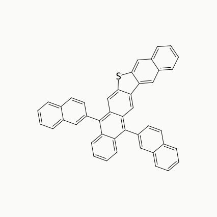 c1ccc2cc(-c3c4ccccc4c(-c4ccc5ccccc5c4)c4cc5c(cc34)sc3cc4ccccc4cc35)ccc2c1